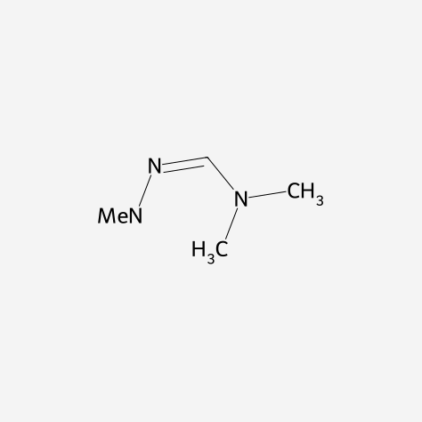 CN/N=C\N(C)C